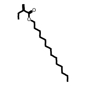 C=C(CC)C(=O)OCCCCCCCCCCCCCC